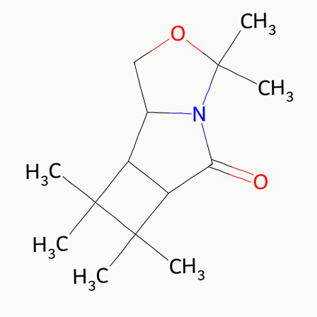 CC1(C)OCC2C3C(C(=O)N21)C(C)(C)C3(C)C